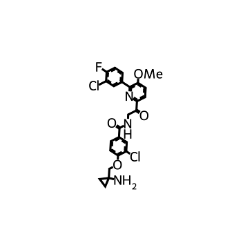 COc1ccc(C(=O)CNC(=O)c2ccc(OCC3(N)CC3)c(Cl)c2)nc1-c1ccc(F)c(Cl)c1